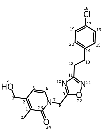 Cc1c(CO)ccn(Cc2nc(CCc3ccc(Cl)cc3)no2)c1=O